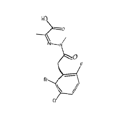 CC(=NN(C)C(=O)Cc1c(F)ccc(Cl)c1Br)C(=O)O